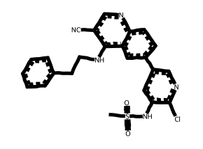 CS(=O)(=O)Nc1cc(-c2ccc3ncc(C#N)c(NCCc4ccccc4)c3c2)cnc1Cl